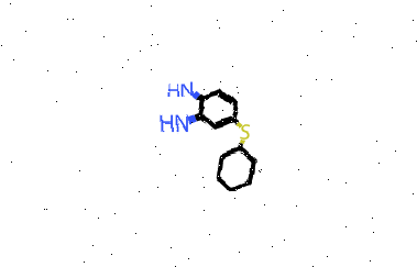 N=C1C=CC(SC2CCCCC2)=CC1=N